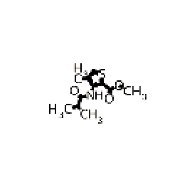 COC(=O)c1scc(C)c1NC(=O)C(C)C